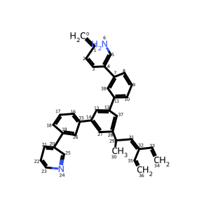 C=C/C=C\C(=C/N)c1cccc(-c2cc(-c3cccc(-c4cccnc4)c3)cc(C(C)C=C(C=C)C=C)c2)c1